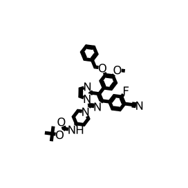 COc1ccc(-c2c(-c3ccc(C#N)c(F)c3)nc(N3CCC(NC(=O)OC(C)(C)C)CC3)n3ccnc23)cc1OCc1ccccc1